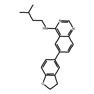 CC(C)CCNc1ncnc2ccc(-c3ccc4c(c3)CCO4)cc12